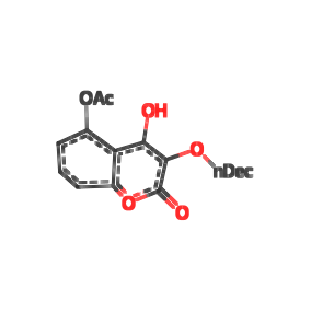 CCCCCCCCCCOc1c(O)c2c(OC(C)=O)cccc2oc1=O